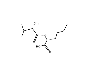 CSCC[C@@H](NC(=O)[C@@H](N)C(C)C)C(=O)O